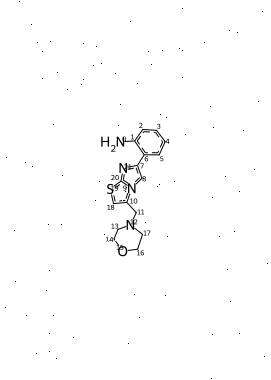 Nc1ccccc1-c1cn2c(CN3CCOCC3)csc2n1